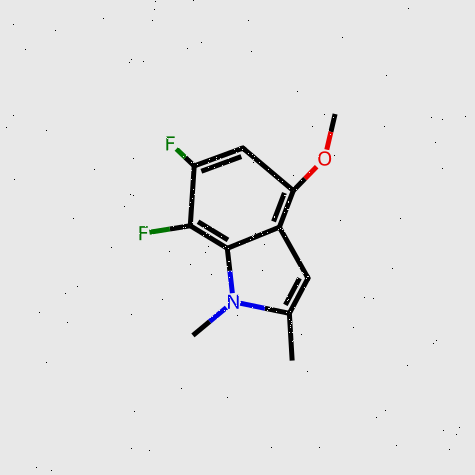 COc1cc(F)c(F)c2c1cc(C)n2C